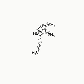 CCCCCCCCCCc1c(O)ccc(CCCC)c1CCCC